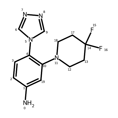 Nc1ccc(-n2cnnc2)c(N2CCC(F)(F)CC2)c1